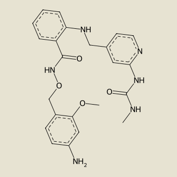 CNC(=O)Nc1cc(CNc2ccccc2C(=O)NOCc2ccc(N)cc2OC)ccn1